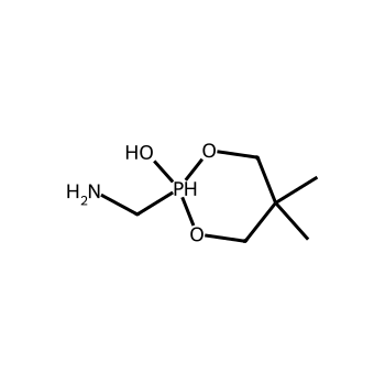 CC1(C)CO[PH](O)(CN)OC1